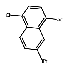 CC(=O)c1ccc(Cl)c2ccc(C(C)C)cc12